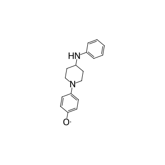 [O]c1ccc(N2CCC(Nc3ccccc3)CC2)cc1